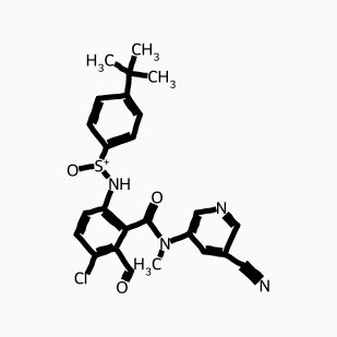 CN(C(=O)c1c(N[S+]([O-])c2ccc(C(C)(C)C)cc2)ccc(Cl)c1C=O)c1cncc(C#N)c1